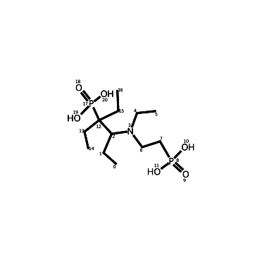 CCC(N(CC)CCP(=O)(O)O)C(CC)(CC)P(=O)(O)O